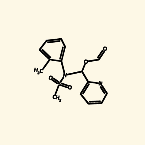 Cc1ccccc1N(C(OC=O)c1ccccn1)S(C)(=O)=O